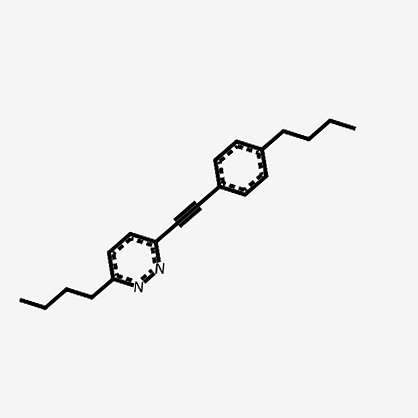 CCCCc1ccc(C#Cc2ccc(CCCC)nn2)cc1